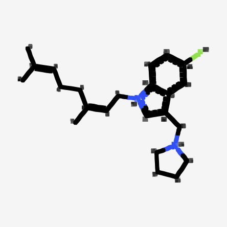 CC(C)=CCCC(C)=CCn1cc(CN2CCCC2)c2cc(F)ccc21